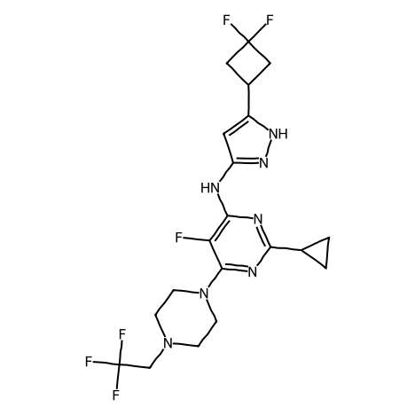 Fc1c(Nc2cc(C3CC(F)(F)C3)[nH]n2)nc(C2CC2)nc1N1CCN(CC(F)(F)F)CC1